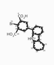 O=C(O)c1cc(-c2cccc3c2[nH]c2ccccc23)cc(C(=O)O)c1Br